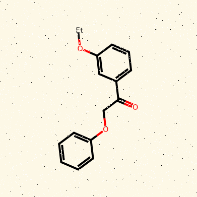 CCOc1cccc(C(=O)COc2ccccc2)c1